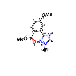 COC(=O)c1ccc(OC)cc1-c1ncn(C(C)C)n1